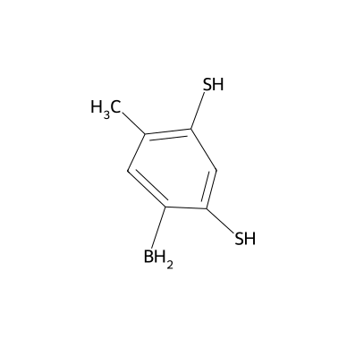 Bc1cc(C)c(S)cc1S